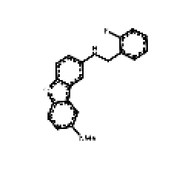 CNc1ccc2oc3ccc(NCc4ccccc4F)cc3c2c1